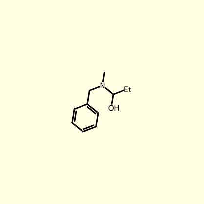 CCC(O)N(C)Cc1ccccc1